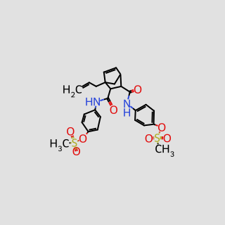 C=CCC12C=CC(C1)C(C(=O)Nc1ccc(OS(C)(=O)=O)cc1)C2C(=O)Nc1ccc(OS(C)(=O)=O)cc1